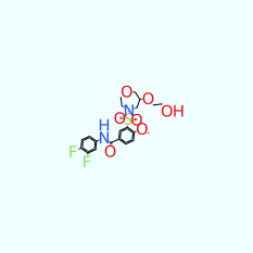 COc1ccc(C(=O)Nc2ccc(F)c(F)c2)cc1S(=O)(=O)N1CCOCC(OCCO)C1